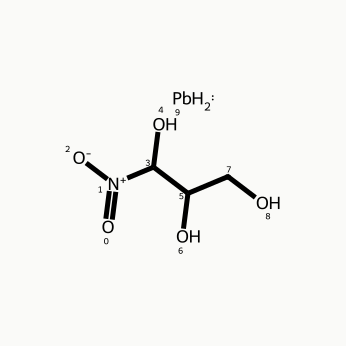 O=[N+]([O-])C(O)C(O)CO.[PbH2]